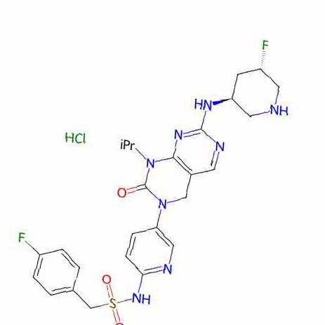 CC(C)N1C(=O)N(c2ccc(NS(=O)(=O)Cc3ccc(F)cc3)nc2)Cc2cnc(N[C@@H]3CNC[C@@H](F)C3)nc21.Cl